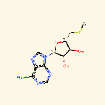 CC(=O)SC[C@H]1O[C@@H](n2cnc3c(N)ncnc32)[C@@H](O)C1O